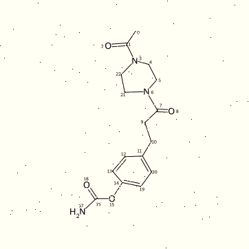 CC(=O)N1CCN(C(=O)[CH]Cc2ccc(OC(N)=O)cc2)CC1